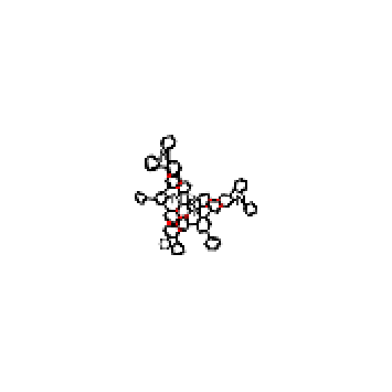 c1ccc(-c2cc(-c3ccccc3)c(N3c4cc(-c5ccc6c(c5)c5ccccc5n6-c5ccccc5)ccc4B4c5ccc(-c6ccc7c(c6)c6ccccc6n7-c6ccccc6)cc5N(c5c(-c6ccccc6)cc(-c6ccccc6)cc5-c5ccccc5)c5cc(-c6ccc7oc8ccccc8c7c6)cc3c54)c(-c3ccccc3)c2)cc1